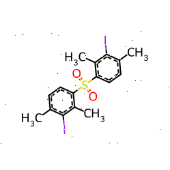 Cc1ccc(S(=O)(=O)c2ccc(C)c(I)c2C)c(C)c1I